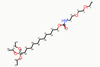 [CH2]COCCOCCNC(=O)OCCCCCCCCCCC[Si](OC[CH2])(OCC)OCC